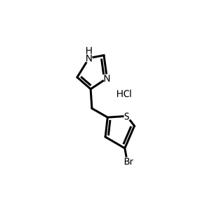 Brc1csc(Cc2c[nH]cn2)c1.Cl